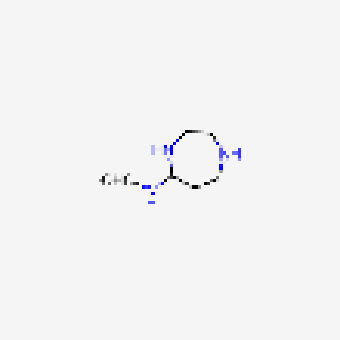 O=[C]NC1CCNCCN1